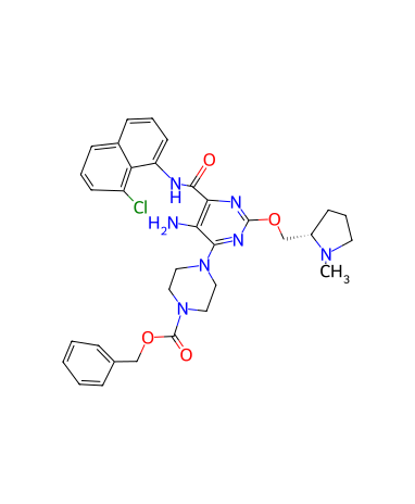 CN1CCC[C@H]1COc1nc(C(=O)Nc2cccc3cccc(Cl)c23)c(N)c(N2CCN(C(=O)OCc3ccccc3)CC2)n1